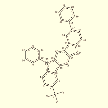 CC(C)(C)c1ccc2c(c1)c1cc3sc4ccc(-c5ccccc5)cc4c3cc1n2-c1ccccc1